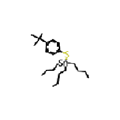 CCC[CH2][Sn]([CH2]CCC)([CH2]CCC)[S]c1ccc(C(C)(C)C)cc1